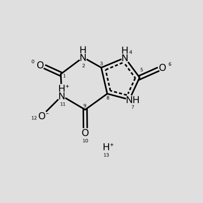 O=C1Nc2[nH]c(=O)[nH]c2C(=O)[NH+]1[O-].[H+]